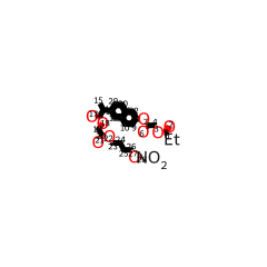 CCC(=O)OCC(=O)Oc1ccc2cc(C(C)C(=O)OCC(=O)OCCCCO[N+](=O)[O-])ccc2c1